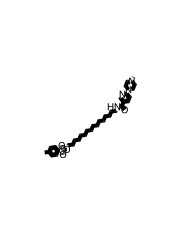 Cc1ccc(S(=O)(=O)OCCCCCCCCCCCCCCCCNC(=O)c2ccc(N3CCN(C)CC3)nc2)cc1